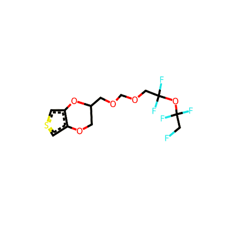 FCC(F)(F)OC(F)(F)COCOCC1COc2cscc2O1